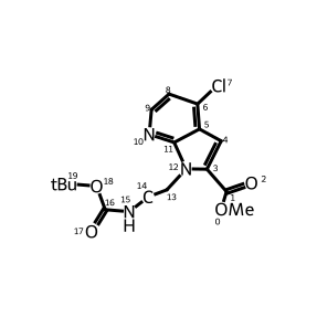 COC(=O)c1cc2c(Cl)ccnc2n1CCNC(=O)OC(C)(C)C